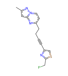 Cc1cc2nc(CCC#Cc3csc(CF)n3)ccn2n1